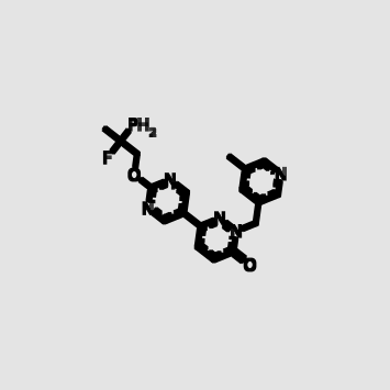 Cc1cncc(Cn2nc(-c3cnc(OCC(C)(F)P)nc3)ccc2=O)c1